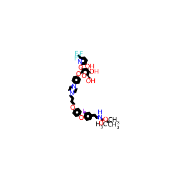 CC(C)(C)OC(=O)NCCc1ccc(Oc2ccc(OCCCCN3CCN(c4ccc(O[C@H]5O[C@H](CO)[C@H](O)[C@H](O)[C@H]5Oc5cccc(C(F)(F)F)n5)cc4)CC3)cc2)c(I)c1